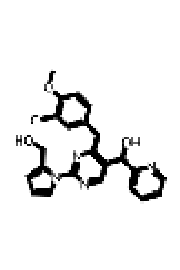 COc1ccc(Cc2nc(-n3cccc3CO)ncc2C(O)c2ccccn2)cc1Cl